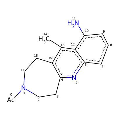 CC(=O)N1CCc2nc3cccc(N)c3c(C)c2CC1